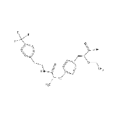 CCO[C@@H](Cc1ccc(O[C@H](C)C(=O)NCCc2ccc(C(F)(F)F)cc2)cc1)C(=O)O